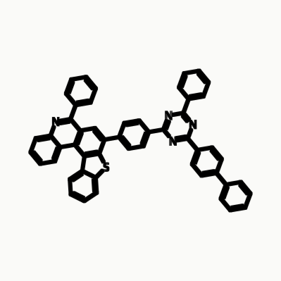 c1ccc(-c2ccc(-c3nc(-c4ccccc4)nc(-c4ccc(-c5cc6c(-c7ccccc7)nc7ccccc7c6c6c5sc5ccccc56)cc4)n3)cc2)cc1